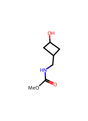 COC(=O)NCC1CC(O)C1